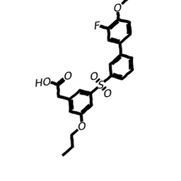 CCCOc1cc(CC(=O)O)cc(S(=O)(=O)c2cccc(-c3ccc(OC)c(F)c3)c2)c1